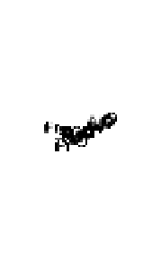 CC(C)CN(c1ccc(C(C)C)cn1)S(=O)(=O)c1ccc2c(cnn2CC2CCOCC2)c1